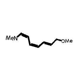 CN\C=C/C=C\C=C\COC